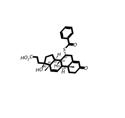 C[C@]12CCC(=O)C=C1C[C@@H](SC(=O)c1ccccc1)[C@@H]1[C@@H]2C=C[C@@]2(C)[C@H]1CC[C@@]2(O)CCC(=O)O